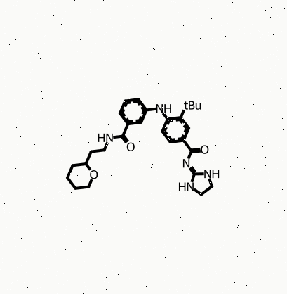 CC(C)(C)c1cc(C(=O)N=C2NCCN2)ccc1Nc1cccc(C(=O)NCCC2CCCCO2)c1